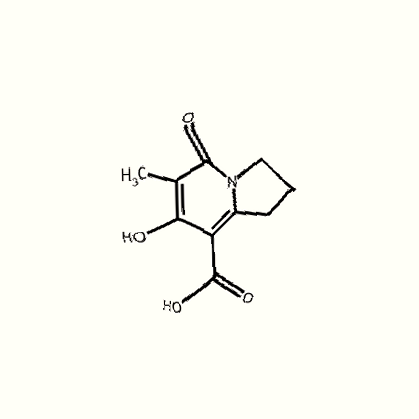 Cc1c(O)c(C(=O)O)c2n(c1=O)CCC2